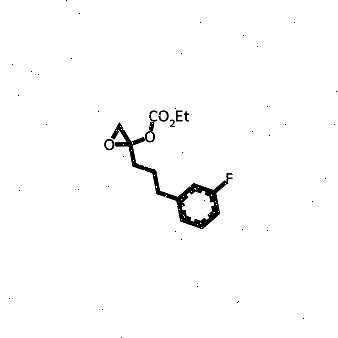 CCOC(=O)OC1(CCCc2cccc(F)c2)CO1